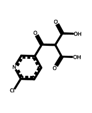 O=C(O)C(C(=O)O)C(=O)c1ccc(Cl)nc1